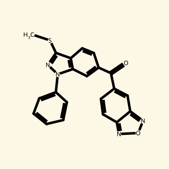 CSc1nn(-c2ccccc2)c2cc(C(=O)c3ccc4nonc4c3)ccc12